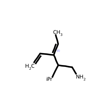 C=C/C(=C\C)C(CN)C(C)C